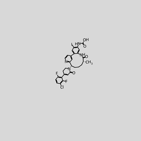 C[C@@H]1CCC[C@H](N2CCC(c3c(F)ccc(Cl)c3F)=CC2=O)c2cc(ccn2)-c2cc(I)c(NC(=O)O)cc2NC1=O